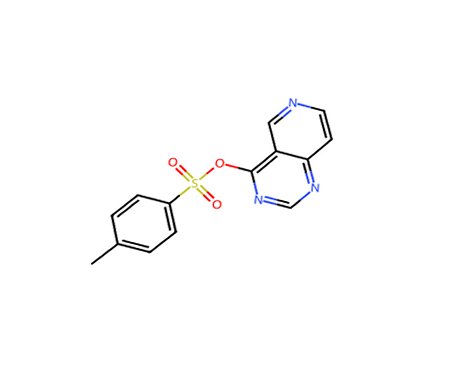 Cc1ccc(S(=O)(=O)Oc2ncnc3ccncc23)cc1